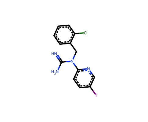 N=C(N)N(Cc1ccccc1Cl)c1ccc(I)cn1